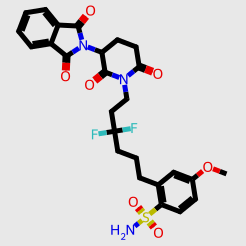 COc1ccc(S(N)(=O)=O)c(CCCC(F)(F)CCN2C(=O)CCC(N3C(=O)c4ccccc4C3=O)C2=O)c1